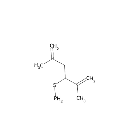 C=C(C)CC(SP)C(=C)C